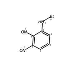 [CH2]CNc1cccc(N=O)c1N=O